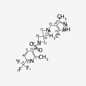 Cc1nc(C(F)(F)F)ccc1S(=O)(=O)N1CC2(CN(Cc3c(C)n[nH]c3C)C2)C1